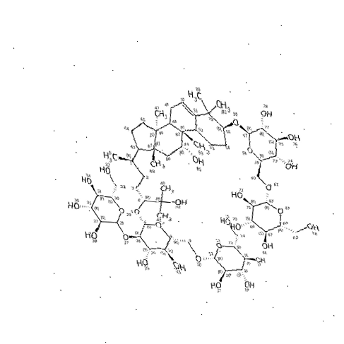 C[C@H](CC[C@@H](O[C@@H]1O[C@H](CO[C@@H]2O[C@H](CO)[C@@H](O)[C@H](O)[C@H]2O)[C@@H](O)[C@H](O)[C@H]1OC1O[C@@H](CO)[C@H](O)[C@@H](O)[C@@H]1O)C(C)(C)O)C1CC[C@@]2(C)C3CC=C4C(CC[C@H](O[C@@H]5O[C@H](CO[C@@H]6O[C@H](CO)[C@@H](O)[C@H](O)[C@H]6O)[C@@H](O)[C@H](O)[C@H]5O)C4(C)C)[C@]3(C)[C@H](O)C[C@]12C